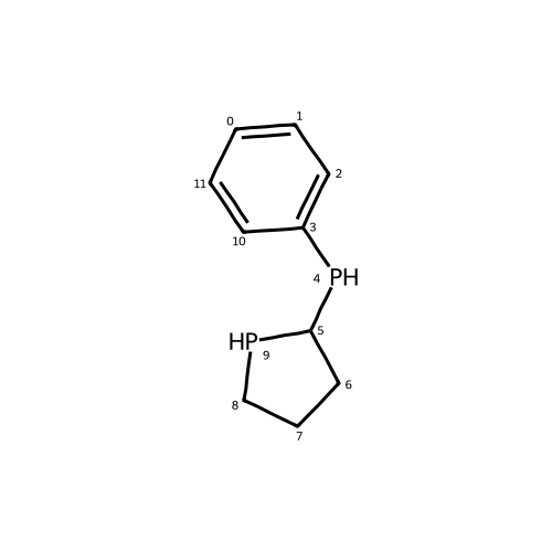 c1ccc(PC2CCCP2)cc1